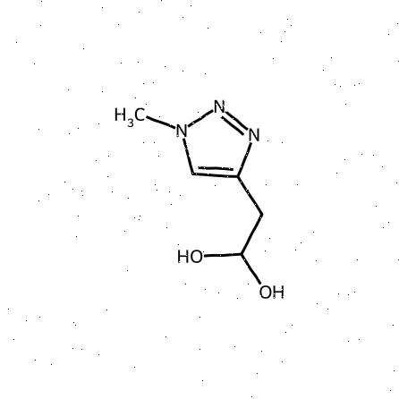 Cn1cc(CC(O)O)nn1